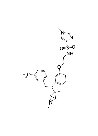 CN1C2C1C21Cc2ccc(OCCNS(=O)(=O)c3cn(C)cn3)cc2C1Cc1cccc(C(F)(F)F)c1